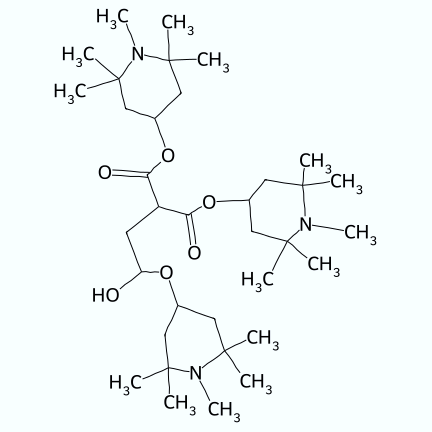 CN1C(C)(C)CC(OC(=O)C(CC(O)OC2CC(C)(C)N(C)C(C)(C)C2)C(=O)OC2CC(C)(C)N(C)C(C)(C)C2)CC1(C)C